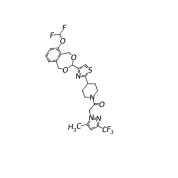 Cc1cc(C(F)(F)F)nn1CC(=O)N1CCC(c2nc(C3OCc4cccc(OC(F)F)c4CO3)cs2)CC1